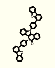 O=c1c2ccccc2c2c(c3ccccc3n2-c2ccc(-c3cccc4c3oc3ccccc34)cc2)n1-c1ccc(-c2cccc3c2oc2ccccc23)cc1